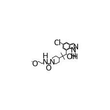 COCCNC(=O)N1CCC(C(C)(C)[C@H](O)c2cc(Cl)cc3cn[nH]c23)CC1